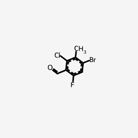 Cc1c(Br)cc(F)c(C=O)c1Cl